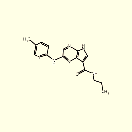 CCCNC(=O)c1c[nH]c2ncc(Nc3ccc(C)cn3)nc12